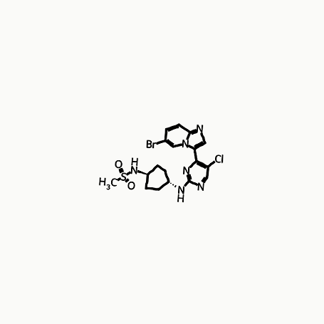 CS(=O)(=O)N[C@H]1CC[C@H](Nc2ncc(Cl)c(-c3cnc4ccc(Br)cn34)n2)CC1